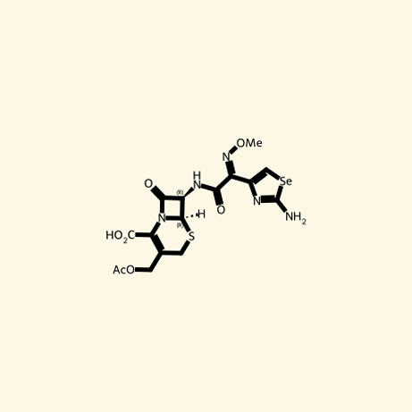 CON=C(C(=O)N[C@@H]1C(=O)N2C(C(=O)O)=C(COC(C)=O)CS[C@H]12)c1c[se]c(N)n1